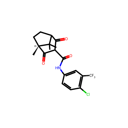 CC1(C)C2CC[C@@]1(C)C(=O)C(C(=O)Nc1ccc(Cl)c(C(F)(F)F)c1)C2=O